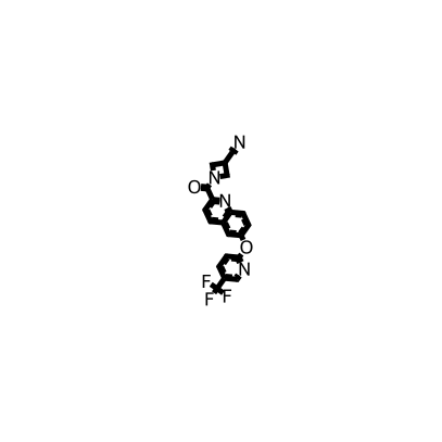 N#CC1CN(C(=O)c2ccc3cc(Oc4ccc(C(F)(F)F)cn4)ccc3n2)C1